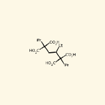 CCC(CC(C(=O)O)(C(=O)O)C(C)C)C(C(=O)O)(C(=O)O)C(C)C